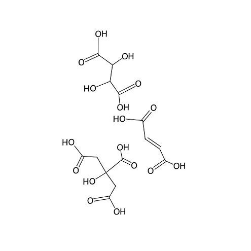 O=C(O)C(O)C(O)C(=O)O.O=C(O)C=CC(=O)O.O=C(O)CC(O)(CC(=O)O)C(=O)O